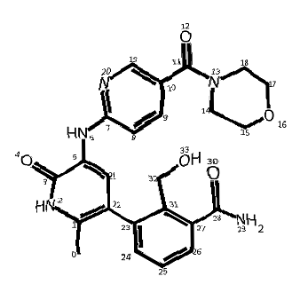 Cc1[nH]c(=O)c(Nc2ccc(C(=O)N3CCOCC3)cn2)cc1-c1cccc(C(N)=O)c1CO